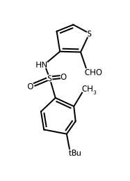 Cc1cc(C(C)(C)C)ccc1S(=O)(=O)Nc1ccsc1C=O